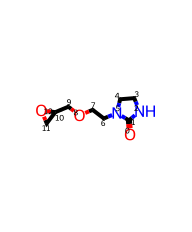 O=C1NCCN1CCOCC1CO1